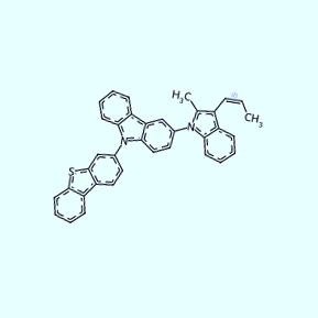 C/C=C\c1c(C)n(-c2ccc3c(c2)c2ccccc2n3-c2ccc3c(c2)sc2ccccc23)c2ccccc12